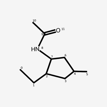 CCC1CC(C)CC1NC(C)=O